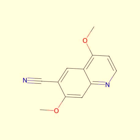 COc1cc2nccc(OC)c2cc1C#N